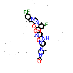 C[C@H]1CN(C2COC2)CCN1c1ccc(Nc2cc(-c3cc(F)cc(N4CCn5c(cc6c5CC(F)(F)CC6)C4=O)c3CO)cn(C)c2=O)nc1